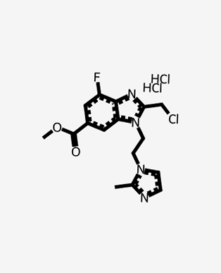 COC(=O)c1cc(F)c2nc(CCl)n(CCn3ccnc3C)c2c1.Cl.Cl